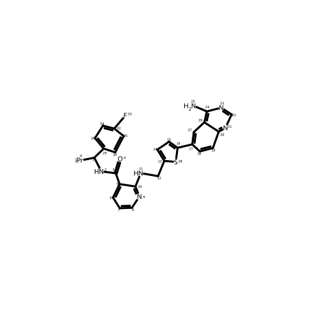 CC(C)C(NC(=O)c1cccnc1NCc1ccc(-c2ccc3ncnc(N)c3c2)s1)c1ccc(F)cc1